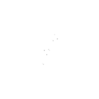 c1cc(COc2ccc(N3CC[N]CC3)cc2)ccn1